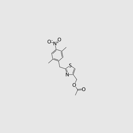 CC(=O)OCc1csc(Cc2cc(C)c([N+](=O)[O-])cc2C)n1